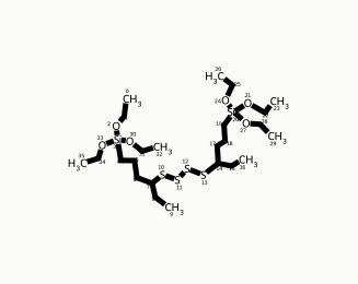 CCO[Si](CCCC(CC)SSSSC(CC)CCC[Si](OCC)(OCC)OCC)(OCC)OCC